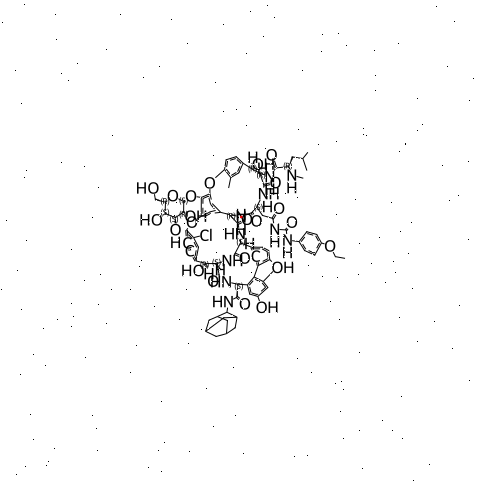 CCOc1ccc(NC(=O)NC(=O)C[C@@H]2NC(=O)[C@H](NC(=O)[C@@H](CC(C)C)NC)[C@H](O)c3ccc(c(C)c3)Oc3cc4cc(c3O[C@@H]3O[C@H](CO)[C@@H](O)[C@H](O)[C@H]3O)Oc3ccc(cc3Cl)[C@@H](O)[C@@H]3NC(=O)[C@@H](NC(=O)[C@@H]4NC2=O)c2ccc(O)c(c2)-c2c(C)cc(O)cc2[C@@H](C(=O)NC2C4CC5CC(C4)CC2C5)NC3=O)cc1